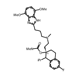 CNC(=O)O[C@]1(CCN(C)CCCc2nc3c(OC)ccc(OC)c3[nH]2)CCc2cc(F)ccc2C1C(C)C